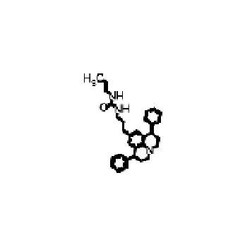 CCCNC(=O)NCCCc1cc2c3c(c1)C(c1ccccc1)CCN3CCC2c1ccccc1